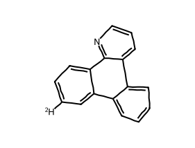 [2H]c1ccc2c(c1)c1ccccc1c1cccnc12